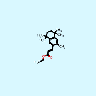 CCOC(=O)C=Cc1cc2c(cc1C)C(C)(C)CCC2(C)C